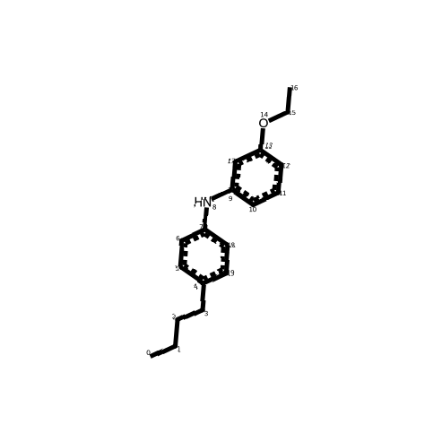 CCCCc1ccc(Nc2cccc(OCC)c2)cc1